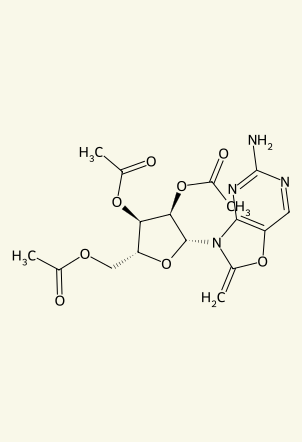 C=C1Oc2cnc(N)nc2N1[C@@H]1O[C@H](COC(C)=O)[C@@H](OC(C)=O)[C@H]1OC(C)=O